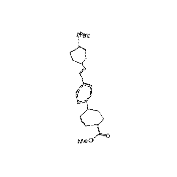 CCCCCC1CCC(C=Cc2ccc(C3CCC(C(=O)OC)CC3)cc2)CC1